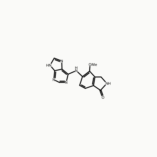 COc1c(Nc2ncnc3[nH]cnc23)ccc2c1CNC2=O